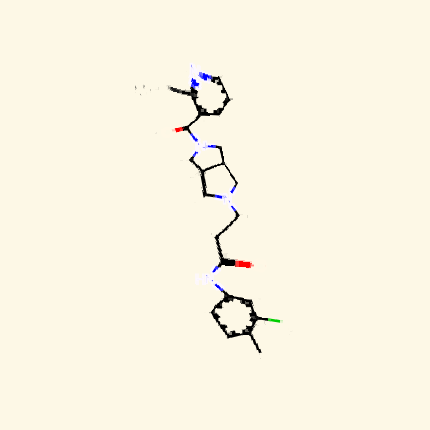 COc1ncccc1C(=O)N1CC2CN(CCC(=O)Nc3ccc(C)c(Cl)c3)CC2C1